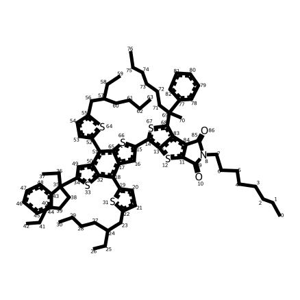 CCCCCCCCN1C(=O)c2sc3c(-c4cc5c(-c6ccc(CC(CC)CCCC)s6)c6sc(C(CC)(CCCCC)c7ccccc7)cc6c(-c6ccc(CC(CC)CCCC)s6)c5s4)sc(C(C)(CCCCCC)c4ccccc4)c3c2C1=O